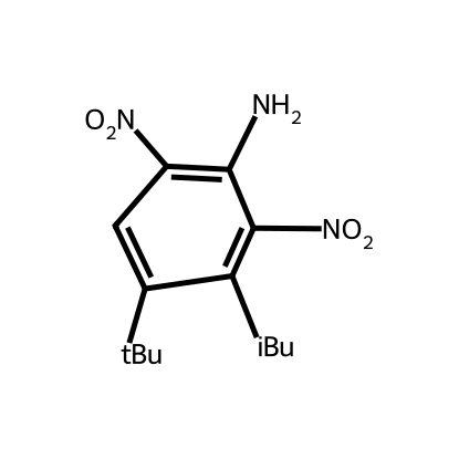 CCC(C)c1c(C(C)(C)C)cc([N+](=O)[O-])c(N)c1[N+](=O)[O-]